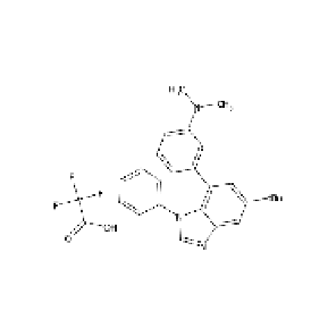 CN(C)c1cccc(-c2cc(C(C)(C)C)cc3ncn(-c4ccccc4)c23)c1.O=C(O)C(F)(F)F